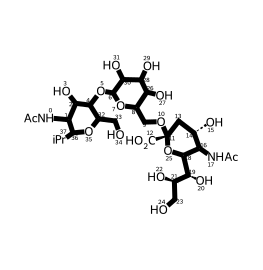 CC(=O)NC1C(O)C(OC2OC(CO[C@]3(C(=O)O)C[C@H](O)C(NC(C)=O)C([C@H](O)[C@H](O)CO)O3)C(O)C(O)C2O)C(CO)OC1C(C)C